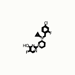 Oc1nc(N2CCC[C@@H](N(Cc3ccc(Cl)cc3F)C3CC3)C2)ncc1F